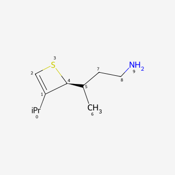 CC(C)C1=CS[C@H]1C(C)CCN